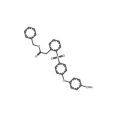 COc1ccc(Oc2ccc(S(=O)(=O)c3ccccc3CC(=O)OCc3ccccc3)cc2)cc1